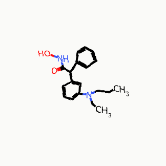 CCCN(CC)c1cccc(C(C(=O)NO)c2ccccc2)c1